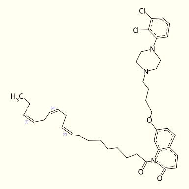 CC/C=C\C/C=C\C/C=C\CCCCCCCC(=O)n1c(=O)ccc2ccc(OCCCCN3CCN(c4cccc(Cl)c4Cl)CC3)cc21